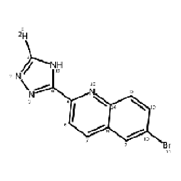 [2H]c1nnc(-c2ccc3cc(Br)ccc3n2)[nH]1